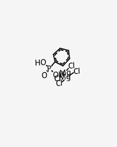 O=P(O)(O)c1ccccc1.[Cl][Mg][Cl].[Cl][Mg][Cl]